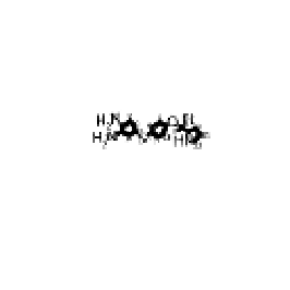 CCC(C)(Oc1ccc(Sc2ccc(N)c(N)c2)cc1)c1ccc[nH]1